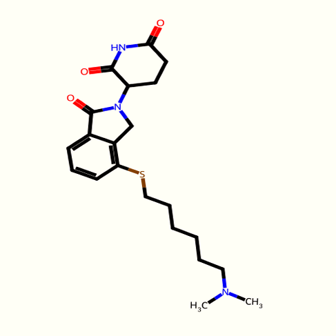 CN(C)CCCCCCSc1cccc2c1CN(C1CCC(=O)NC1=O)C2=O